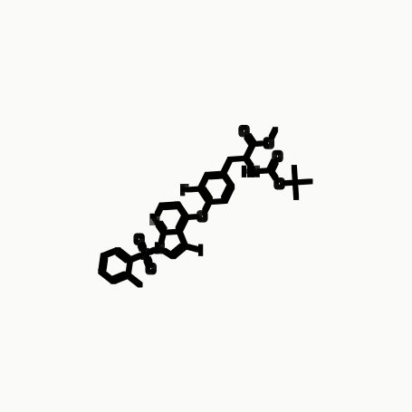 COC(=O)C(Cc1ccc(Oc2ccnc3c2c(I)cn3S(=O)(=O)c2ccccc2C)c(F)c1)NC(=O)OC(C)(C)C